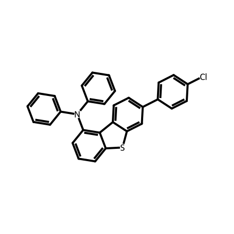 Clc1ccc(-c2ccc3c(c2)sc2cccc(N(c4ccccc4)c4ccccc4)c23)cc1